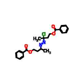 CC(CCOC(=O)c1ccccc1)N=NC(C)(Cl)CCOC(=O)c1ccccc1